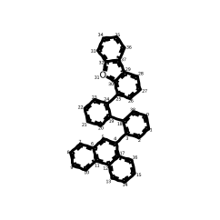 c1ccc(-c2cc3ccccc3c3ccccc23)c(-c2ccccc2-c2cccc3c2oc2ccccc23)c1